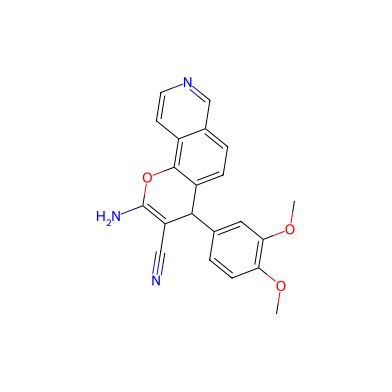 COc1ccc(C2C(C#N)=C(N)Oc3c2ccc2cnccc32)cc1OC